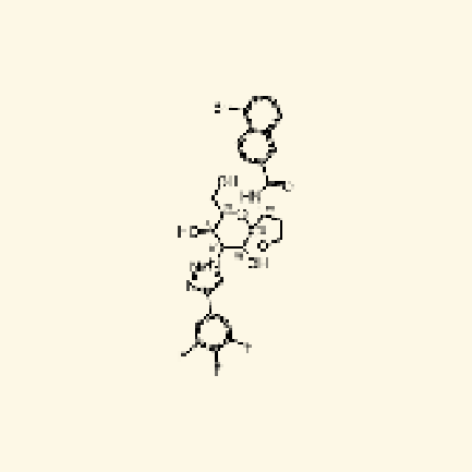 O=C(N[C@@H]1CCO[C@]12O[C@H](CO)[C@H](O)[C@H](n1cc(-c3cc(F)c(F)c(F)c3)nn1)[C@H]2O)c1ccc2c(Br)cccc2c1